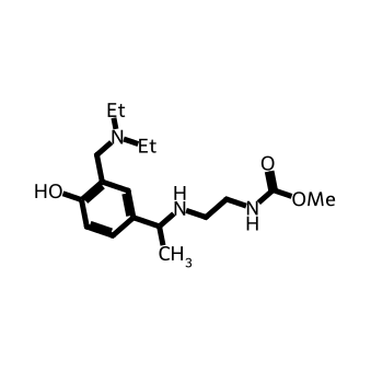 CCN(CC)Cc1cc(C(C)NCCNC(=O)OC)ccc1O